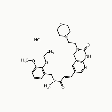 CCOc1c(CN(C)C(=O)C=Cc2cnc3c(c2)CN(CCN2CCOCC2)C(=O)N3)cccc1OC.Cl